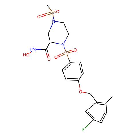 Cc1ccc(F)cc1COc1ccc(S(=O)(=O)N2CCN(S(C)(=O)=O)CC2C(=O)NO)cc1